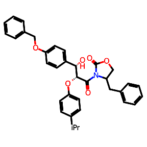 CC(C)c1ccc(O[C@@H](C(=O)N2C(=O)OCC2Cc2ccccc2)[C@@H](O)c2ccc(OCc3ccccc3)cc2)cc1